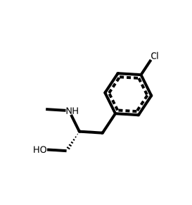 CN[C@@H](CO)Cc1ccc(Cl)cc1